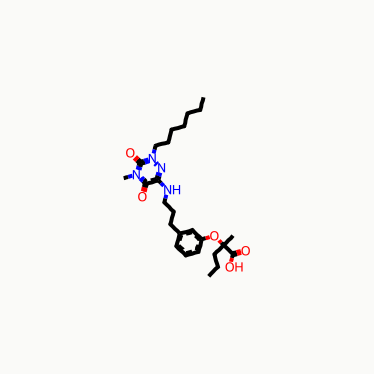 CCCCCCCn1nc(NCCCc2cccc(OC(C)(CCC)C(=O)O)c2)c(=O)n(C)c1=O